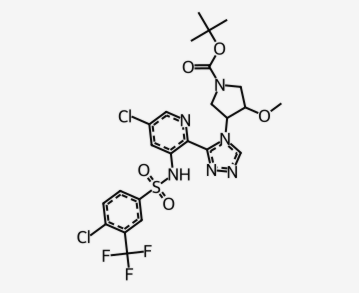 COC1CN(C(=O)OC(C)(C)C)CC1n1cnnc1-c1ncc(Cl)cc1NS(=O)(=O)c1ccc(Cl)c(C(F)(F)F)c1